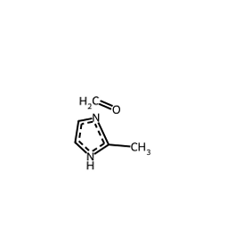 C=O.Cc1ncc[nH]1